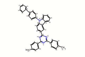 Cc1ccc(-c2nc(-c3ccc(C)cc3)nc(-c3ccc4c(c3)c3ccccc3n4-c3ccc(-c4ccccc4)cc3)n2)cc1